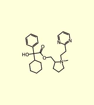 C[N+]1(CCc2ncccn2)CCCC1COC(=O)C(O)(c1ccccc1)C1CCCCC1